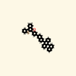 c1ccc2c(-c3c4ccccc4c(-c4ccc5cc(-c6ccc7c(c6)oc6c8ccccc8c8c9ccccc9sc8c76)ccc5c4)c4ccccc34)cccc2c1